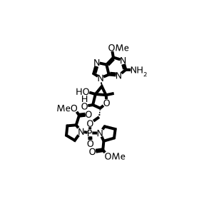 COC(=O)C1CCCN1P(=O)(OC[C@H]1OC2(C)[C@@H](n3cnc4c(OC)nc(N)nc43)C2(O)C1O)N1CCCC1C(=O)OC